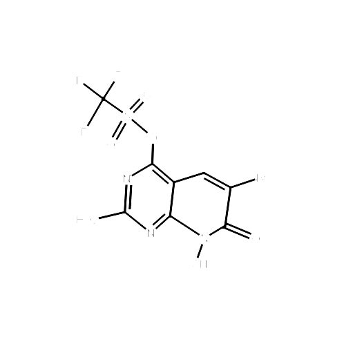 Cc1nc(OS(=O)(=O)C(F)(F)F)c2cc(Br)c(=O)n(C)c2n1